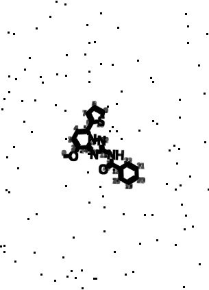 COc1ccc(-c2cccs2)n2nc(NC(=O)c3ccccc3)nc12